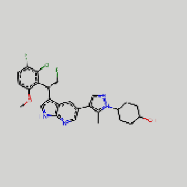 COc1ccc(F)c(Cl)c1[C@@H](CF)c1c[nH]c2ncc(-c3cnn(C4CCC(O)CC4)c3C)cc12